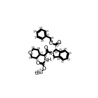 CC(C)(C)OC(=O)N[C@H](C(=O)N1Cc2ccccc2[C@H]1C(=O)OCc1ccccc1)C1CCOCC1